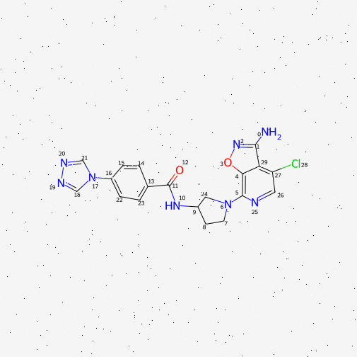 Nc1noc2c(N3CCC(NC(=O)c4ccc(-n5cnnc5)cc4)C3)ncc(Cl)c12